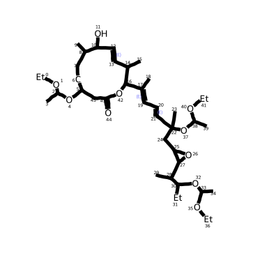 CCOC(C)OC1CCC(C)C(O)/C=C/C(C)C(/C(C)=C/C=C/C(C)(CC2OC2C(C)C(CC)OC(C)OCC)OC(C)OCC)OC(=O)C1